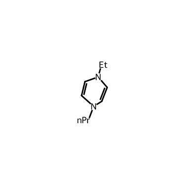 CCCN1C=CN(CC)C=C1